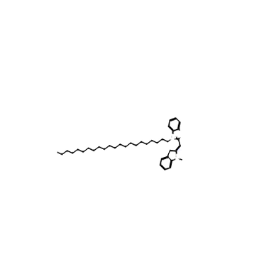 CCCCCCCCCCCCCCCCCCCCCC[n+]1c(/C=C2\Cc3ccccc3N2C)sc2ccccc21